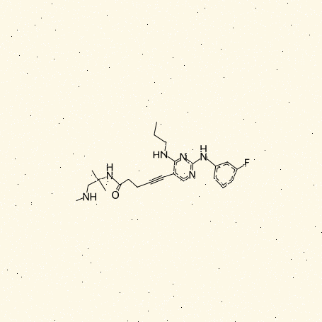 CCCNc1nc(Nc2cccc(F)c2)ncc1C#CCCC(=O)NC(C)(C)CNC